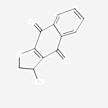 CC(=O)C1COC2=C1C(=O)c1ccccc1C2=O